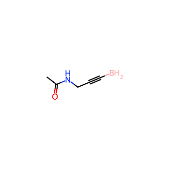 BC#CCNC(C)=O